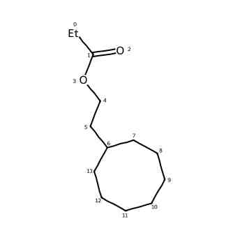 [CH2]CC(=O)OCCC1CCCCCCC1